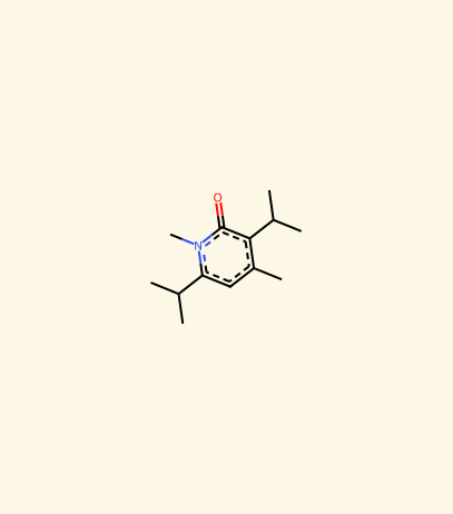 Cc1cc(C(C)C)n(C)c(=O)c1C(C)C